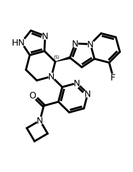 O=C(c1ccnnc1N1CCc2[nH]cnc2[C@H]1c1cc2c(F)cccn2n1)N1CCC1